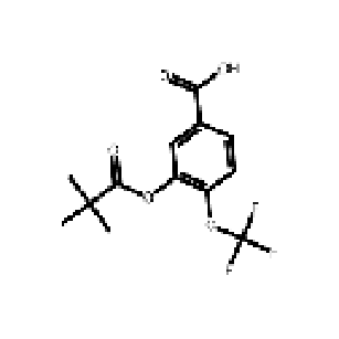 CC(C)(C)C(=O)Oc1cc(C(=O)O)ccc1OC(F)(F)F